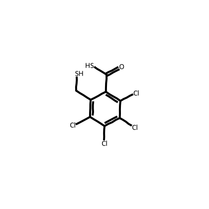 O=C(S)c1c(Cl)c(Cl)c(Cl)c(Cl)c1CS